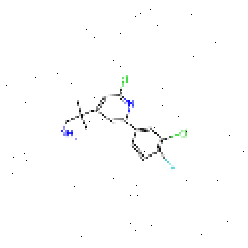 CC(C)(CN)c1cc(Cl)nc(-c2ccc(F)c(Cl)c2)c1